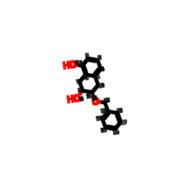 Oc1cccc2c1C[C@@H](O)[C@@H](OCc1ccccc1)C2